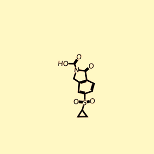 O=C(O)N1Cc2cc(S(=O)(=O)C3CC3)ccc2C1=O